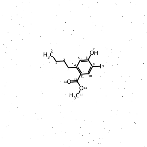 CCCCc1cc(O)c(I)cc1C(=O)OC